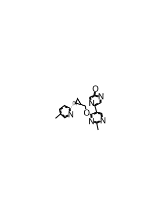 Cc1ccc([C@@H]2CC2COc2nc(C)ncc2-c2cn(C)c(=O)cn2)nc1